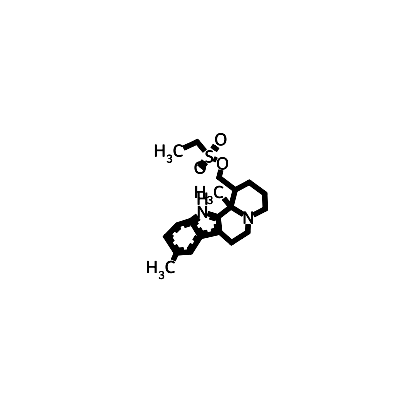 CCS(=O)(=O)OCC1CCCN2CCc3c([nH]c4ccc(C)cc34)C12C